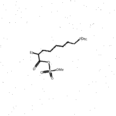 CCCCCCCCCCCCCCCCC(CC)C(=O)OS(=O)(=O)OC